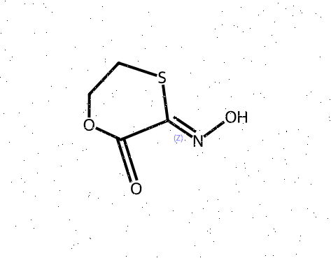 O=C1OCCS/C1=N\O